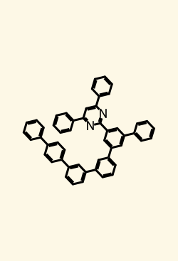 c1ccc(-c2ccc(-c3cccc(-c4cccc(-c5cc(-c6ccccc6)cc(-c6nc(-c7ccccc7)cc(-c7ccccc7)n6)c5)c4)c3)cc2)cc1